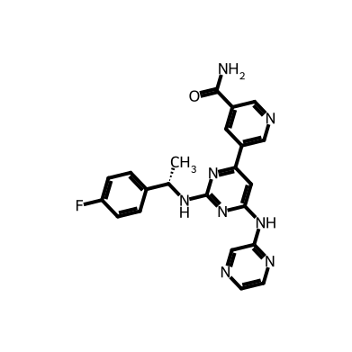 C[C@H](Nc1nc(Nc2cnccn2)cc(-c2cncc(C(N)=O)c2)n1)c1ccc(F)cc1